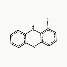 [S]c1cccc2c1Nc1ccccc1S2